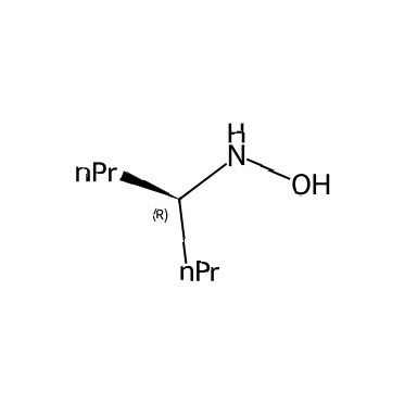 C[CH]C[C@H](CCC)NO